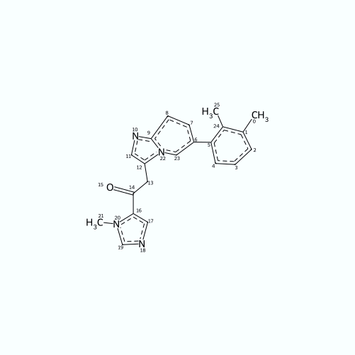 Cc1cccc(-c2ccc3ncc(CC(=O)c4cncn4C)n3c2)c1C